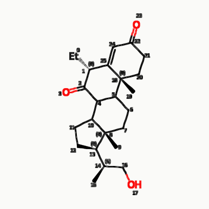 CC[C@H]1C(=O)C2C(CC[C@@]3(C)C2CC[C@@H]3[C@H](C)CO)[C@@]2(C)CCC(=O)C=C12